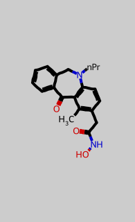 CCCN1Cc2ccccc2C(=O)c2c1ccc(CC(=O)NO)c2C